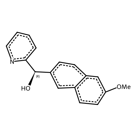 COc1ccc2cc([C@@H](O)c3ccccn3)ccc2c1